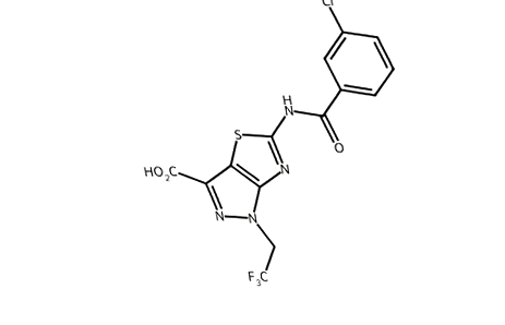 O=C(Nc1nc2c(s1)c(C(=O)O)nn2CC(F)(F)F)c1cccc(Cl)c1